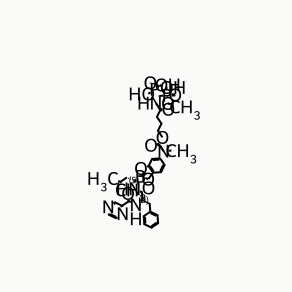 COP(=O)(O)C(NC(=O)CCCOC(=O)N(C)c1ccc2c(c1)OB([C@@H](CC(C)C)NC(=O)[C@@H](Cc1ccccc1)NC(=O)c1cnccn1)O2)P(=O)(O)O